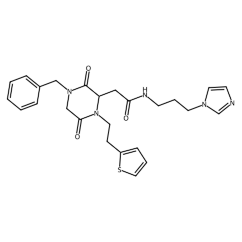 O=C(CC1C(=O)N(Cc2ccccc2)CC(=O)N1CCc1cccs1)NCCCn1ccnc1